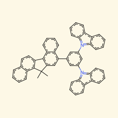 CC1(C)c2cc(-c3cc(-n4c5ccccc5c5ccccc54)cc(-n4c5ccccc5c5ccccc54)c3)c3ccccc3c2-c2ccc3ccccc3c21